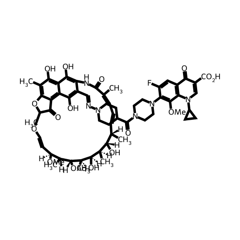 COc1c(N2CCN(C(=O)C3CCN(/N=C/c4c5c(O)c6c(O)c(C)c7c(c6c4O)C(=O)[C@@](C)(O/C=C/[C@H](OC)[C@@H](C)[C@@H](OC(C)=O)[C@H](C)[C@H](O)[C@H](C)[C@@H](O)[C@@H](C)/C=C/C=C(/C)C(=O)N5)O7)CC3)CC2)c(F)cc2c(=O)c(C(=O)O)cn(C3CC3)c12